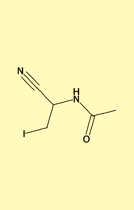 CC(=O)NC(C#N)CI